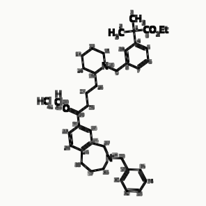 CCOC(=O)C(C)(C)c1cccc(CN2CCCCC2CCCC(=O)c2ccc3c(c2)CN(Cc2ccccc2)CCC3)c1.Cl.Cl